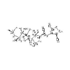 C[C@H]1CC[C@H]2[C@H](CC[C@H]3C4[C@H](C)C[C@H](C(=O)CN5C(=O)CSC5=O)[C@@]4(C)CC[C@H]23)C1